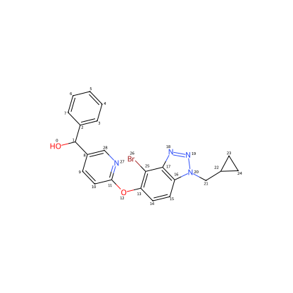 OC(c1ccccc1)c1ccc(Oc2ccc3c(nnn3CC3CC3)c2Br)nc1